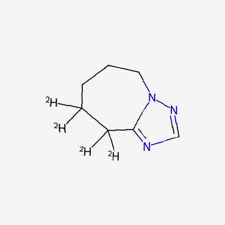 [2H]C1([2H])CCCn2ncnc2C1([2H])[2H]